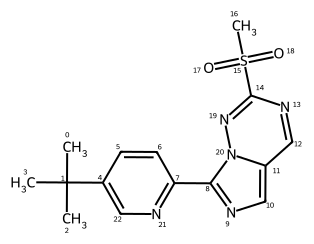 CC(C)(C)c1ccc(-c2ncc3cnc(S(C)(=O)=O)nn23)nc1